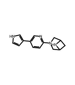 c1cc(-c2ccc(N3CC4CC(C3)N4)nc2)c[nH]1